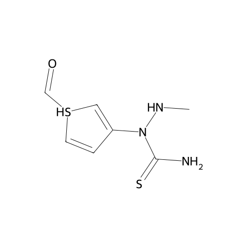 CNN(C(N)=S)C1=C[SH](C=O)C=C1